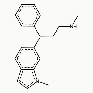 CNCCC(c1ccccc1)c1ccc2ccn(C)c2c1